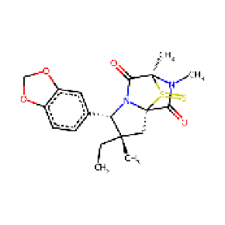 CC[C@@]1(C)C[C@]23C(=O)N(C)[C@](C)(C(=O)N2[C@H]1c1ccc2c(c1)OCO2)S3=S